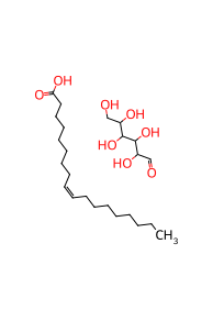 CCCCCCCC/C=C\CCCCCCCC(=O)O.O=CC(O)C(O)C(O)C(O)CO